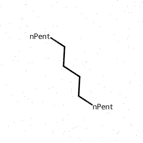 CC[CH]CCCCCCCCCCC